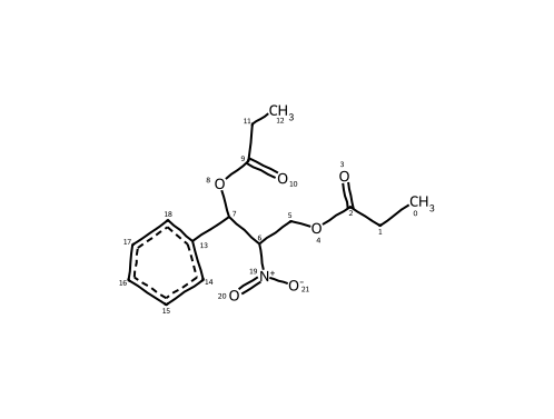 CCC(=O)OCC(C(OC(=O)CC)c1ccccc1)[N+](=O)[O-]